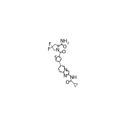 NC(=O)[C@@H]1CC(F)(F)CN1C(=O)c1cc(-c2ccc3nc(NC(=O)C4CC4)cn3c2)cs1